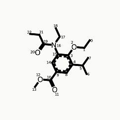 CCOc1c(C(C)C)cc(C(=O)OC)cc1N(CC)C(=O)CC